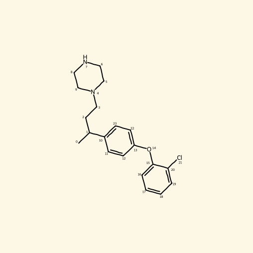 CC(CCN1CCNCC1)c1ccc(Oc2ccccc2Cl)cc1